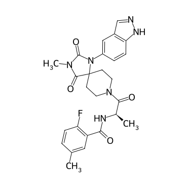 Cc1ccc(F)c(C(=O)N[C@H](C)C(=O)N2CCC3(CC2)C(=O)N(C)C(=O)N3c2ccc3[nH]ncc3c2)c1